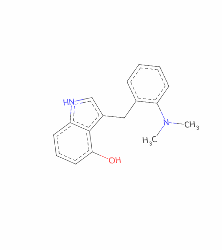 CN(C)c1ccccc1Cc1c[nH]c2cccc(O)c12